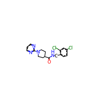 O=C(NCc1ccc(Cl)cc1Cl)C1CCN(c2ncccn2)CC1